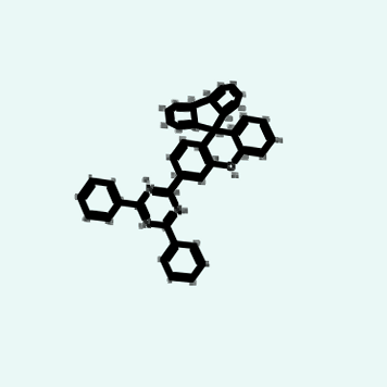 c1ccc(-c2nc(-c3ccccc3)nc(-c3ccc4c(c3)Oc3ccccc3C43c4ccccc4-c4ccccc43)n2)cc1